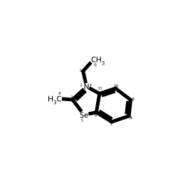 CC[n+]1c(C)[se]c2ccccc21